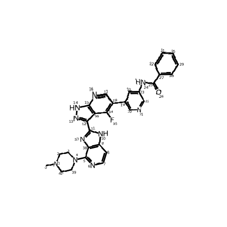 CN1CCN(c2nccc3[nH]c(-c4n[nH]c5ncc(-c6cncc(NC(=O)c7ccccc7)c6)c(F)c45)nc23)CC1